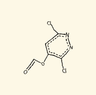 O=COc1cc(Cl)nnc1Cl